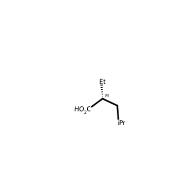 CC[C@H](CC(C)C)C(=O)O